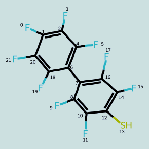 Fc1c(F)c(F)c(-c2c(F)c(F)c(S)c(F)c2F)c(F)c1F